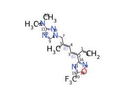 C=C/C(=C\C=C(/C)Cn1cnc(N(C)C)n1)c1noc(C(F)(F)F)n1